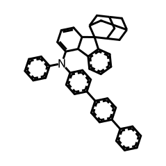 C1=CC2C(C(N(c3ccccc3)c3ccc(-c4ccc(-c5ccccc5)cc4)cc3)=C1)c1ccccc1C21C2CC3CC(C2)CC1C3